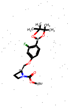 CC(C)(C)OC(=O)N1CC[C@H]1COc1ccc(B2OC(C)(C)C(C)(C)O2)c(F)c1